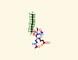 CCN(C(CN(CCNC(C)=O)C(=O)CCC(=O)O)NC(C)=O)S(=O)(=O)C(F)(F)C(F)(F)C(F)(F)C(F)(F)C(F)(F)C(F)(F)C(F)(F)C(F)(F)F